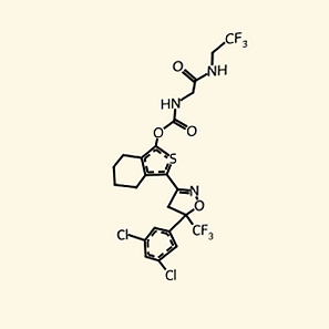 O=C(CNC(=O)Oc1sc(C2=NOC(c3cc(Cl)cc(Cl)c3)(C(F)(F)F)C2)c2c1CCCC2)NCC(F)(F)F